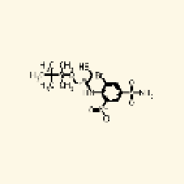 CC(C)(C)[Si](C)(C)OC[C@H](CS)Nc1c(Br)cc(S(N)(=O)=O)cc1[N+](=O)[O-]